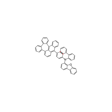 c1ccc(-c2ccccc2N(c2ccc(-c3c4ccccc4c4c5c(cccc35)-c3ccccc3-c3ccccc3-4)cc2)c2cccc3c2oc2ccccc23)cc1